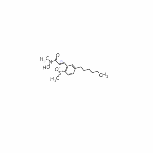 CCCCCCc1ccc([S+](C)[O-])c(/C=C/C(=O)N(C)O)c1